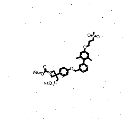 CCOC(=O)CC1(c2ccc(OCc3cccc(-c4c(C)cc(OCCCS(C)(=O)=O)cc4C)c3)cc2)CN(C(=O)OC(C)(C)C)C1